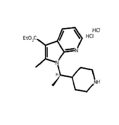 CCOC(=O)c1c(C)n([C@H](C)C2CCNCC2)c2ncccc12.Cl.Cl